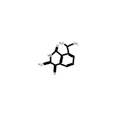 C=C1NC(=O)c2c(cccc2C(C)C)C1=O